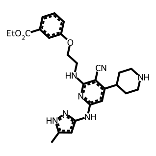 CCOC(=O)c1cccc(OCCNc2nc(Nc3cc(C)[nH]n3)cc(C3CCNCC3)c2C#N)c1